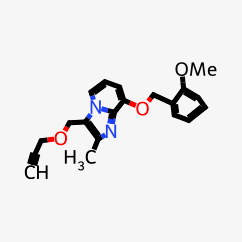 C#CCOCc1c(C)nc2c(OCc3ccccc3OC)cccn12